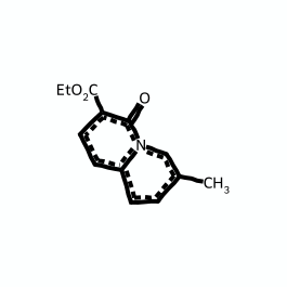 CCOC(=O)c1ccc2ccc(C)cn2c1=O